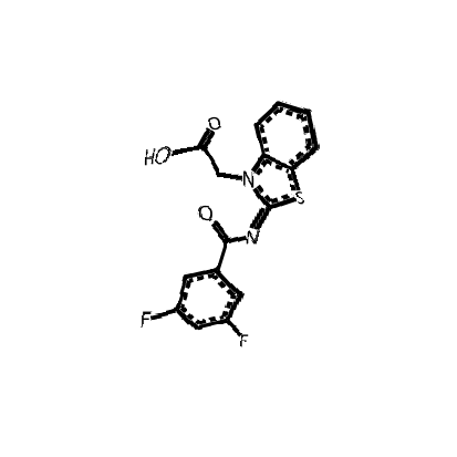 O=C(O)Cn1c(=NC(=O)c2cc(F)cc(F)c2)sc2ccccc21